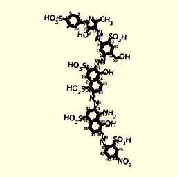 Cc1nn(-c2ccc(S(=O)(=O)O)cc2)c(O)c1/N=N/c1cc(N=Nc2c(S(=O)(=O)O)cc3c(S(=O)(=O)O)c(N=Nc4cc(S(=O)(=O)O)c5ccc(N=Nc6ccc([N+](=O)[O-])cc6S(=O)(=O)O)c(O)c5c4N)ccc3c2O)c(CO)cc1S(=O)(=O)O